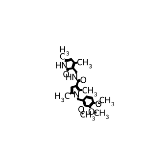 COc1ccc(Cn2c(C)cc(C(=O)NCc3c(C)cc(C)[nH]c3=O)c2C)c(OC)c1OC